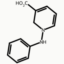 O=C(O)C1=CC=CN(Nc2ccccc2)C1